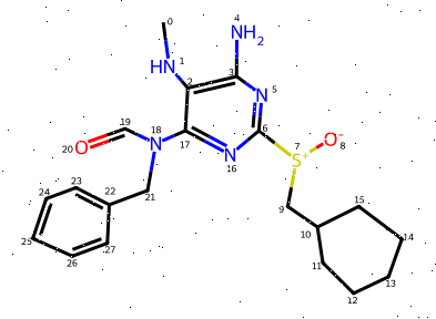 CNc1c(N)nc([S+]([O-])CC2CCCCC2)nc1N(C=O)Cc1ccccc1